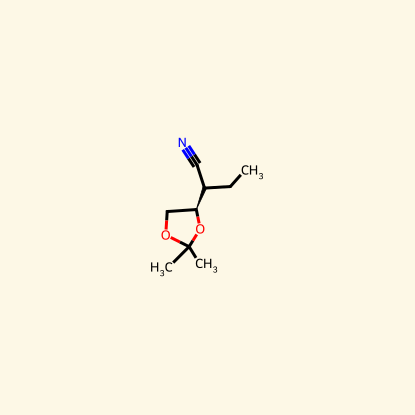 CCC(C#N)[C@@H]1COC(C)(C)O1